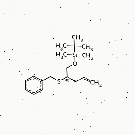 C=CC[C@H](CO[Si](C)(C)C(C)(C)C)SCc1ccccc1